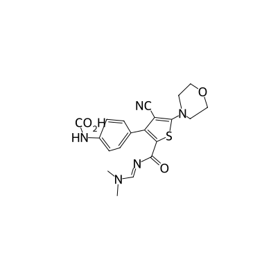 CN(C)C=NC(=O)c1sc(N2CCOCC2)c(C#N)c1-c1ccc(NC(=O)O)cc1